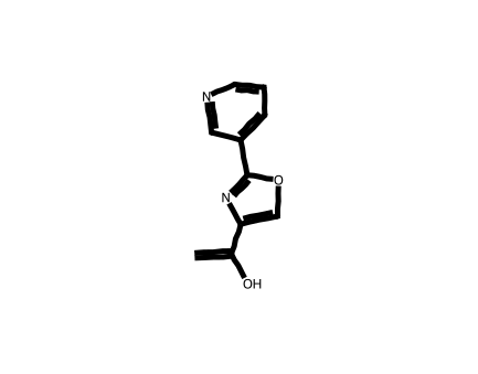 C=C(O)c1coc(-c2cccnc2)n1